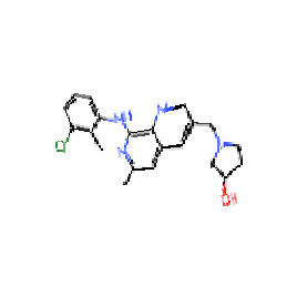 Cc1cc2cc(CN3CC[C@@H](O)C3)cnc2c(Nc2cccc(Cl)c2C)n1